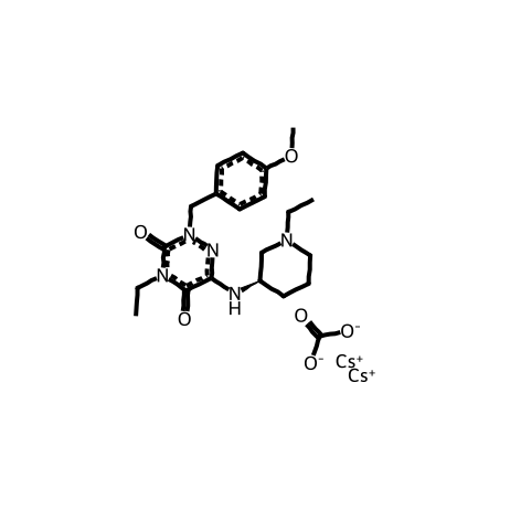 CCN1CCC[C@@H](Nc2nn(Cc3ccc(OC)cc3)c(=O)n(CC)c2=O)C1.O=C([O-])[O-].[Cs+].[Cs+]